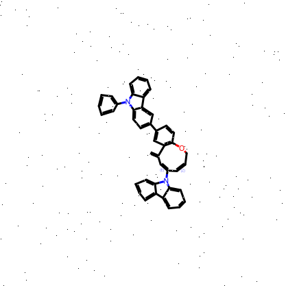 C=C1/C=C(n2c3ccccc3c3ccccc32)\C=C/COc2ccc(-c3ccc4c(c3)c3ccccc3n4-c3ccccc3)cc21